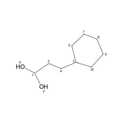 OC(O)CC[C]1CCCCC1